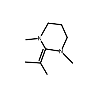 CC(C)=C1N(C)CCCN1C